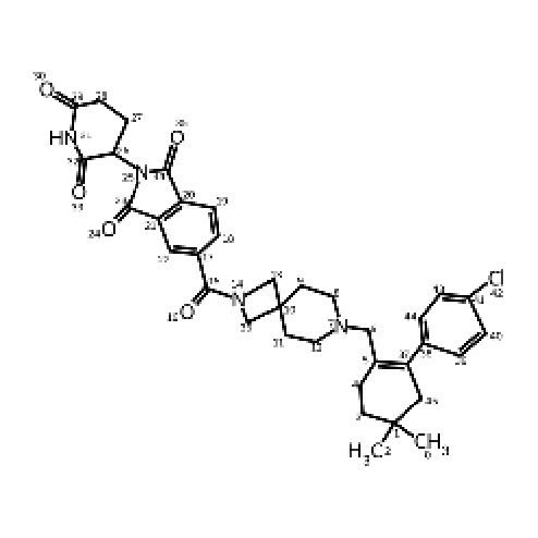 CC1(C)CCC(CN2CCC3(CC2)CN(C(=O)c2ccc4c(c2)C(=O)N(C2CCC(=O)NC2=O)C4=O)C3)=C(c2ccc(Cl)cc2)C1